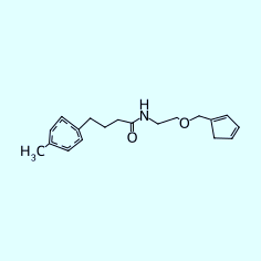 Cc1ccc(CCCC(=O)NCCOCC2=CC=CC2)cc1